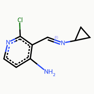 Nc1ccnc(Cl)c1/C=N/C1CC1